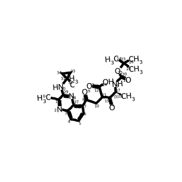 Cc1nc2cccc(C(=O)CC(C(=O)O)C(=O)[C@H](C)NC(=O)OC(C)(C)C)c2nc1NC1(C)CC1